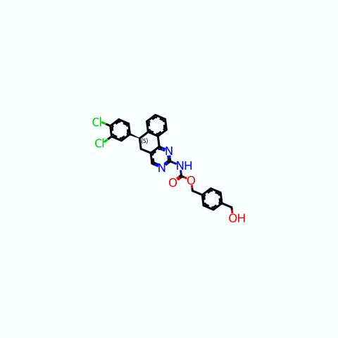 O=C(Nc1ncc2c(n1)-c1ccccc1[C@H](c1ccc(Cl)c(Cl)c1)C2)OCc1ccc(CO)cc1